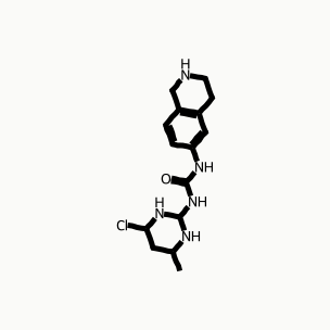 CC1CC(Cl)NC(NC(=O)Nc2ccc3c(c2)CCNC3)N1